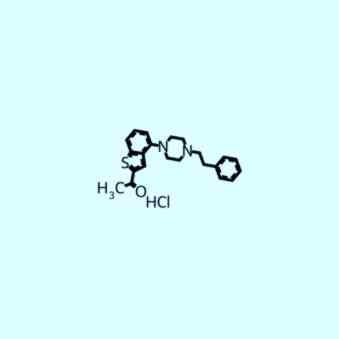 CC(=O)c1cc2c(N3CCN(CCc4ccccc4)CC3)cccc2s1.Cl